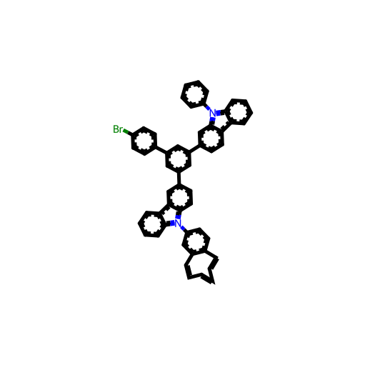 Brc1ccc(-c2cc(-c3ccc4c(c3)c3ccccc3n4-c3ccc4c(c3)\C=C/C=C/C=C/4)cc(-c3ccc4c5ccccc5n(-c5ccccc5)c4c3)c2)cc1